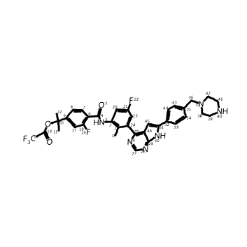 Cc1c(NC(=O)c2ccc(C(C)(C)OC(=O)C(F)(F)F)cc2F)cc(F)cc1-c1ncnc2[nH]c(-c3ccc(CN4CCNCC4)cc3)cc12